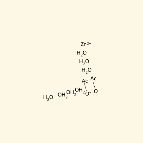 CC(=O)[O-].CC(=O)[O-].O.O.O.O.O.O.O.[Zn+2]